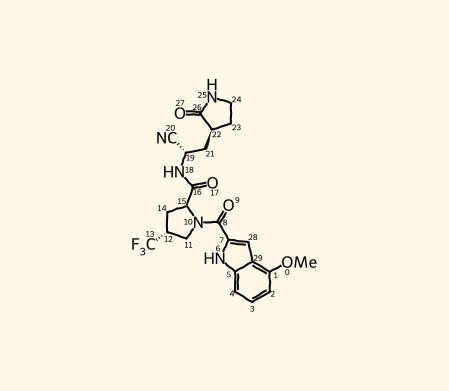 COc1cccc2[nH]c(C(=O)N3C[C@H](C(F)(F)F)CC3C(=O)N[C@H](C#N)C[C@@H]3CCNC3=O)cc12